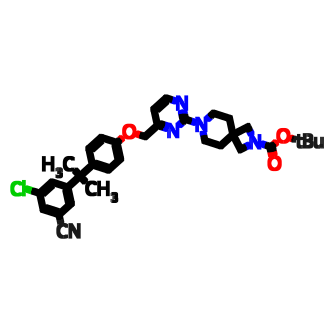 CC(C)(C)OC(=O)N1CC2(CCN(c3nccc(COc4ccc(C(C)(C)c5cc(Cl)cc(C#N)c5)cc4)n3)CC2)C1